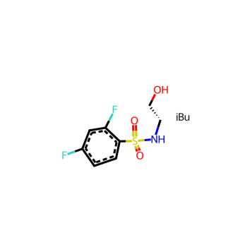 CC[C@H](C)[C@@H](CO)NS(=O)(=O)c1ccc(F)cc1F